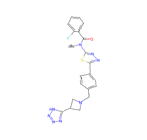 CCCCN(C(=O)c1ccccc1F)c1nnc(-c2ccc(CN3CC(c4nnn[nH]4)C3)cc2)s1